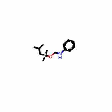 CC(C)C[Si](C)(C)OCNc1ccccc1